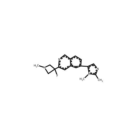 Cc1ncc(-c2ccc3cnc(C4(F)CN(C)C4)cc3c2)n1C